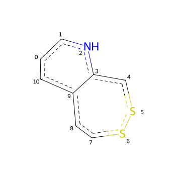 c1c[nH]c2cssccc-2c1